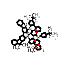 CC(C)(C)c1ccc(N(c2ccc(C(C)(C)C)cc2)c2ccc3c(c2)B2c4c(cc5c(oc6ccccc65)c4N3c3ccc(C(C)(C)C)cc3-c3ccccc3)-c3cc4c(cc3N2c2ccc(-c3ccccc3)cc2)C(C)(C)c2ccccc2-4)cc1